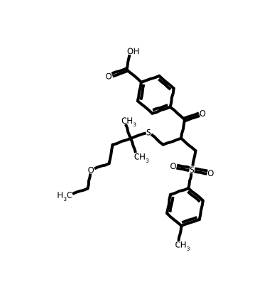 CCOCCC(C)(C)SCC(CS(=O)(=O)c1ccc(C)cc1)C(=O)c1ccc(C(=O)O)cc1